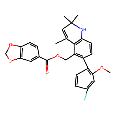 COc1cc(F)ccc1-c1ccc2c(c1COC(=O)c1ccc3c(c1)OCO3)C(C)=CC(C)(C)N2